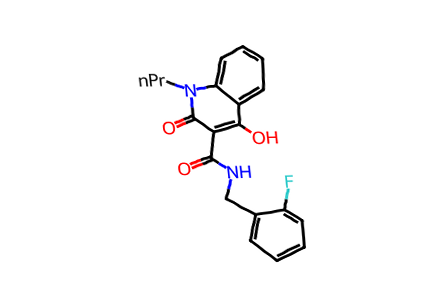 CCCn1c(=O)c(C(=O)NCc2ccccc2F)c(O)c2ccccc21